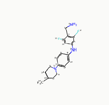 NCc1c(F)cc(Nc2ccc(N3CCC(C(F)(F)F)CC3)cc2)cc1F